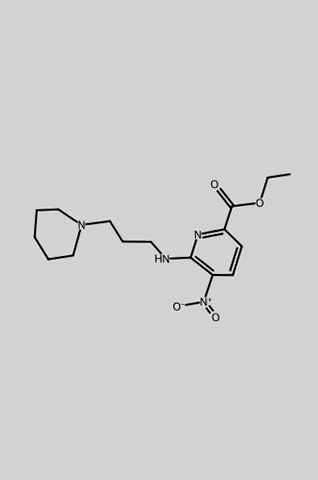 CCOC(=O)c1ccc([N+](=O)[O-])c(NCCCN2CCCCC2)n1